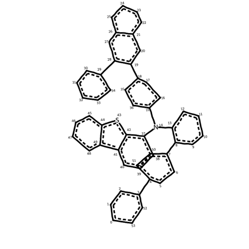 c1ccc(-c2ccc(-c3ccccc3N(c3ccc(-c4cc5ccccc5cc4-c4ccccc4)cc3)c3cccc4c3sc3ccccc34)cc2)cc1